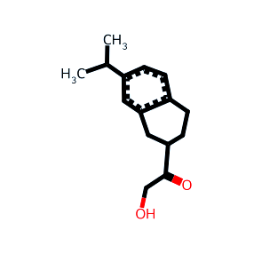 CC(C)c1ccc2c(c1)CC(C(=O)CO)CC2